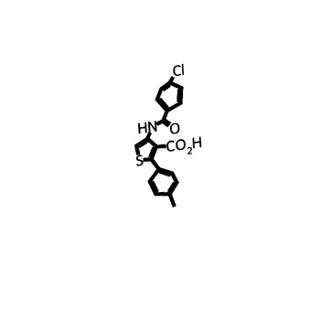 Cc1ccc(-c2scc(NC(=O)c3ccc(Cl)cc3)c2C(=O)O)cc1